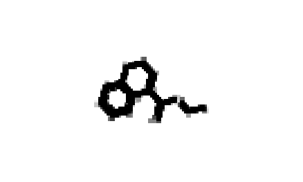 CCOC(=O)C1=CCCc2ccccc21